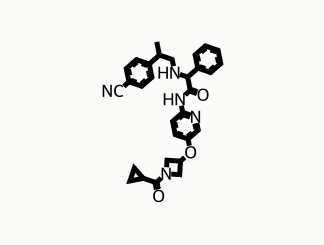 CC(CNC(C(=O)Nc1ccc(OC2CN(C(=O)C3CC3)C2)cn1)c1ccccc1)c1ccc(C#N)cc1